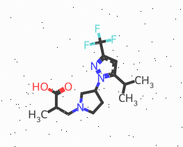 CC(CN1CCC(n2nc(C(F)(F)F)cc2C(C)C)C1)C(=O)O